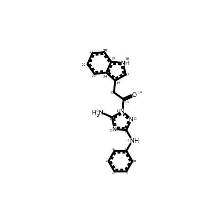 Nc1nc(Nc2ccccc2)nn1C(=O)Cc1c[nH]c2ccccc12